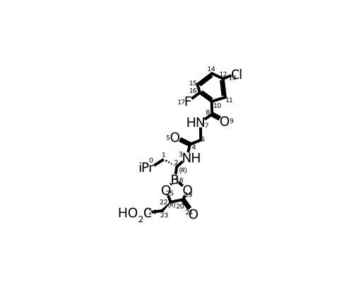 CC(C)C[C@H](NC(=O)CNC(=O)c1cc(Cl)ccc1F)B1OC(=O)[C@@H](CC(=O)O)O1